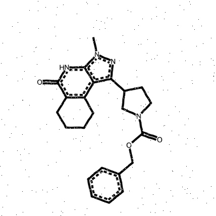 Cn1nc(C2CCN(C(=O)OCc3ccccc3)C2)c2c3c(c(=O)[nH]c21)CCCC3